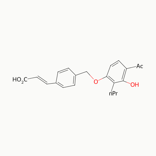 CCCc1c(OCc2ccc(C=CC(=O)O)cc2)ccc(C(C)=O)c1O